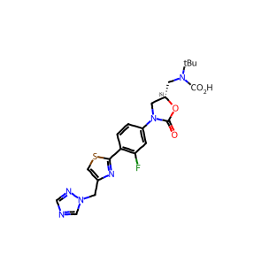 CC(C)(C)N(C[C@H]1CN(c2ccc(-c3nc(Cn4cncn4)cs3)c(F)c2)C(=O)O1)C(=O)O